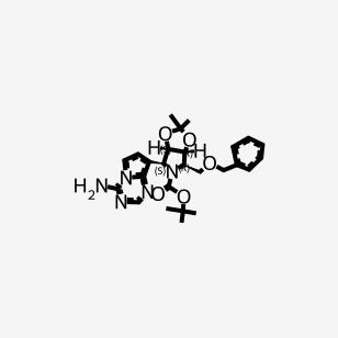 CC(C)(C)OC(=O)N1[C@H](COCc2ccccc2)[C@H]2OC(C)(C)O[C@H]2[C@@H]1c1ccn2c(N)ncnc12